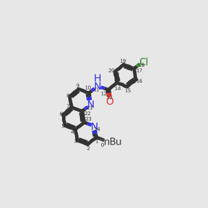 CCCCc1ccc2ccc3ccc(NC(=O)c4ccc(Cl)cc4)nc3c2n1